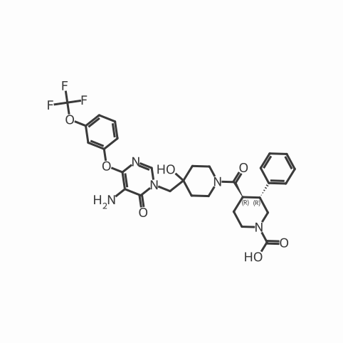 Nc1c(Oc2cccc(OC(F)(F)F)c2)ncn(CC2(O)CCN(C(=O)[C@@H]3CCN(C(=O)O)C[C@H]3c3ccccc3)CC2)c1=O